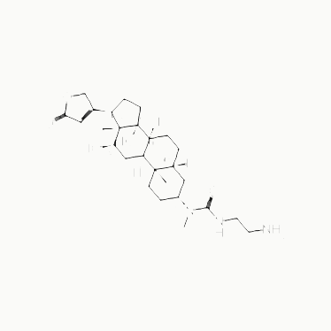 CN(C(=O)NCCN)[C@H]1CC[C@@]2(C)[C@H](CC[C@@H]3[C@@H]2C[C@@H](O)[C@]2(C)[C@@H](C4=CC(=O)OC4)CC[C@]32O)C1